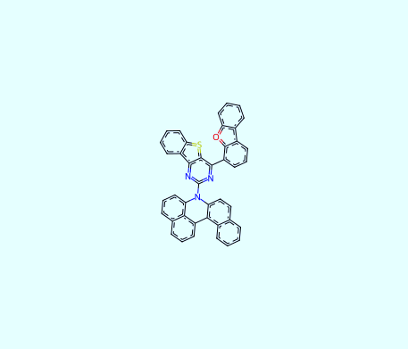 c1ccc2c3c(ccc2c1)N(c1nc(-c2cccc4c2oc2ccccc24)c2sc4ccccc4c2n1)c1cccc2cccc-3c12